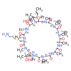 C/C=C/C[C@@H](C)[C@@H](O)[C@H]1C(=O)N[C@@H](CC)C(=O)N(C)[C@H](CSCCCN)C(=O)N(C)[C@@H](CC(C)(C)O)C(=O)N[C@@H](C(C)C)C(=O)N(C)[C@@H](CC(C)C)C(=O)N[C@@H](C)C(=O)N[C@H](C)C(=O)N(C)[C@@H](CC(C)C)C(=O)N(C)[C@@H](CC(C)C)C(=O)N(C)[C@@H](C(C)C)C(=O)N1C